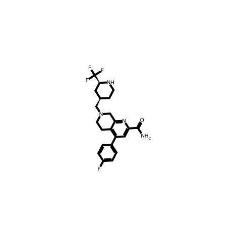 NC(=O)c1cc(-c2ccc(F)cc2)c2c(n1)CN(C[C@@H]1CCN[C@H](C(F)(F)F)C1)CC2